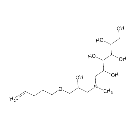 C=CCCCOCC(O)CN(C)CC(O)C(O)C(O)C(O)CO